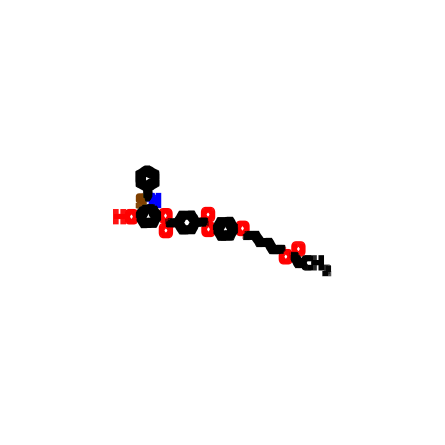 C=CC(=O)OCCCCCCOc1ccc(OC(=O)C2CCC(C(=O)Oc3ccc(O)c4sc(-c5ccccc5)nc34)CC2)cc1